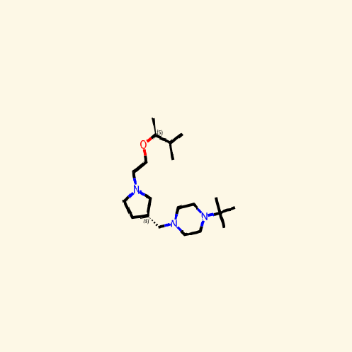 CC(C)[C@H](C)OCCN1CC[C@@H](CN2CCN(C(C)(C)C)CC2)C1